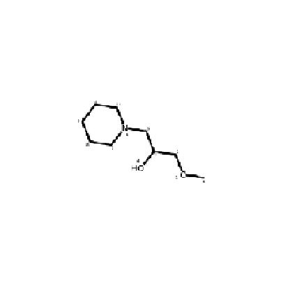 COCC(O)CN1CCCCC1